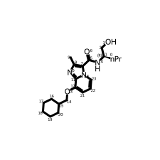 CCC[C@H](CO)NC(=O)c1c(C)nc2c(OCC3CCCCC3)cccn12